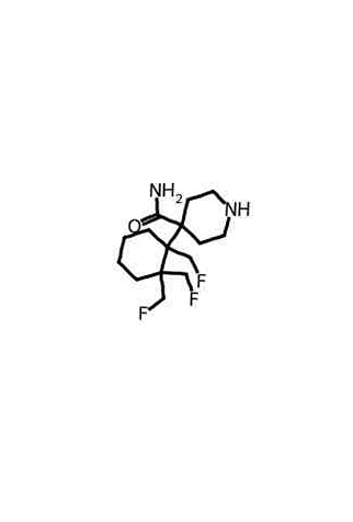 NC(=O)C1(C2(CF)CCCCC2(CF)CF)CCNCC1